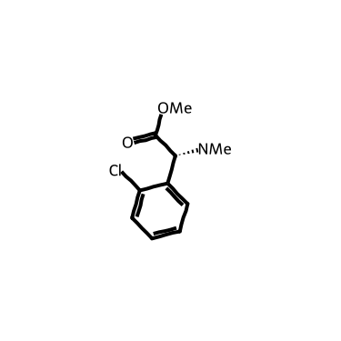 CN[C@@H](C(=O)OC)c1ccccc1Cl